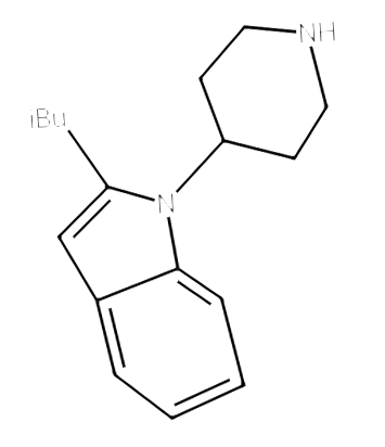 CCC(C)c1cc2ccccc2n1C1CCNCC1